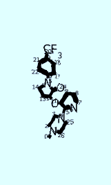 CN1CCN(c2ncccc2OC2CCN(c3ccc(C(F)(F)F)cc3)C2=O)CC1